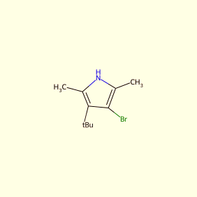 Cc1[nH]c(C)c(C(C)(C)C)c1Br